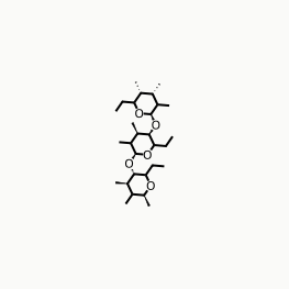 CCC1O[C@@H](C)C(C)[C@@H](C)[C@@H]1O[C@@H]1OC(CC)[C@H](O[C@H]2OC(CC)[C@H](C)[C@H](C)C2C)[C@H](C)C1C